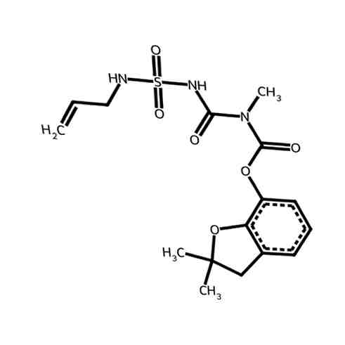 C=CCNS(=O)(=O)NC(=O)N(C)C(=O)Oc1cccc2c1OC(C)(C)C2